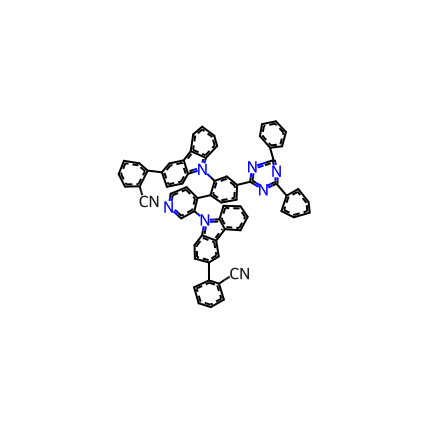 N#Cc1ccccc1-c1ccc2c(c1)c1ccccc1n2-c1cnccc1-c1ccc(-c2nc(-c3ccccc3)nc(-c3ccccc3)n2)cc1-n1c2ccccc2c2cc(-c3ccccc3C#N)ccc21